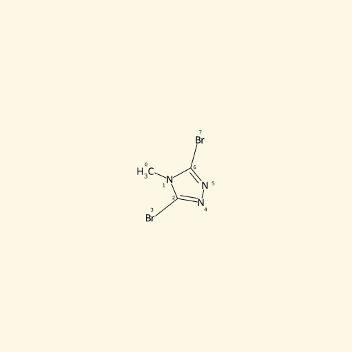 Cn1c(Br)nnc1Br